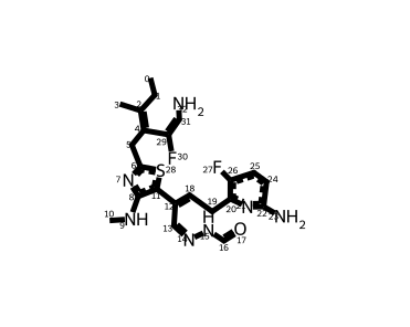 CC/C(C)=C(Cc1nc(NC)c(C(/C=N\NC=O)=C/Cc2nc(N)ccc2F)s1)\C(F)=C/N